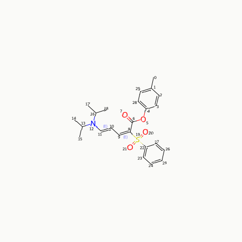 Cc1ccc(OC(=O)/C(=C\C=C\N(C(C)C)C(C)C)S(=O)(=O)c2ccccc2)cc1